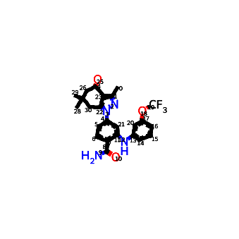 Cc1nn(-c2ccc(C(N)=O)c(Nc3cccc(OC(F)(F)F)c3)c2)c2c1C(=O)CC(C)(C)C2